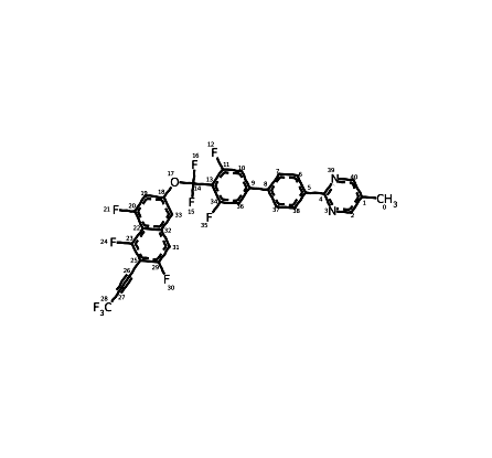 Cc1cnc(-c2ccc(-c3cc(F)c(C(F)(F)Oc4cc(F)c5c(F)c(C#CC(F)(F)F)c(F)cc5c4)c(F)c3)cc2)nc1